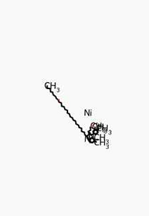 CCCCCCCCCCCCCCCCCCCCCCCCCCCCC(=Nc1ccc(C)c(C)c1)C(CCCC)=Nc1ccc(C)c(C)c1.[Ni]